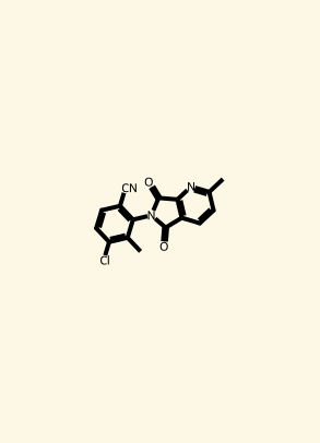 Cc1ccc2c(n1)C(=O)N(c1c(C#N)ccc(Cl)c1C)C2=O